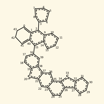 C1=c2c(-c3ccccc3)c3ccccc3c(-c3ccc4sc5cc6ccc7c8ccccc8sc7c6cc5c4c3)c2=CCC1